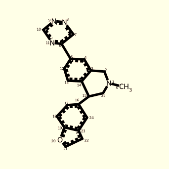 CN1Cc2cc(-c3cnncn3)ccc2C(c2ccc3occc3c2)C1